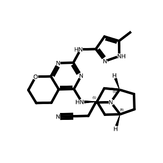 Cc1cc(Nc2nc(N[C@@H]3C[C@H]4CC[C@@H](C3)N4CCC#N)c3c(n2)OCCC3)n[nH]1